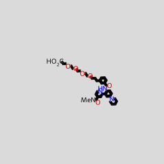 CNC(=O)c1ccnc(-c2cc(N3CCCCC3)ccc2NC(=O)c2cccc(CCCOCCOCCOCCOCCC(=O)O)c2)c1